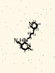 Cc1ccc(C#N)c(NCCCc2cccnc2)n1